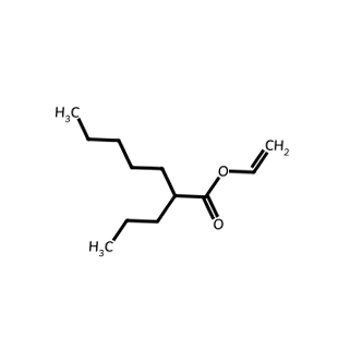 C=COC(=O)C(CCC)CCCCC